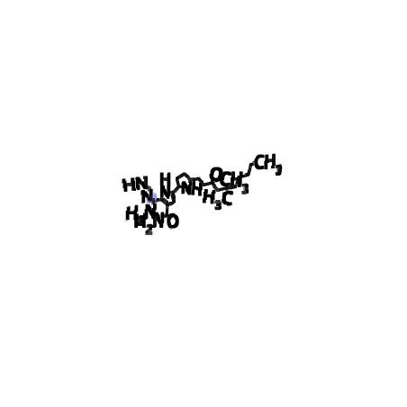 CCCCCC(C)(C)CC(=O)CCC1CCC(c2cc(C(N)=O)c(/C(N)=N\C=N)[nH]2)N1